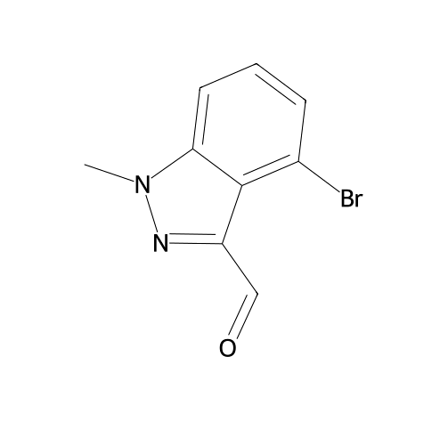 Cn1nc(C=O)c2c(Br)cccc21